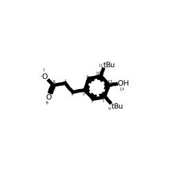 CC(C)(C)c1cc(CCC([O])=O)cc(C(C)(C)C)c1O